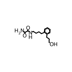 NC(=O)C(=O)NCCCCc1ccccc1CCCO